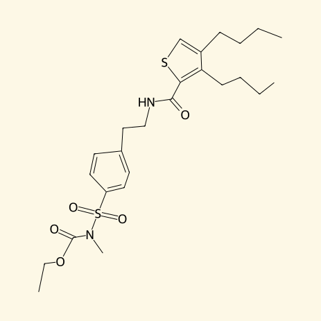 CCCCc1csc(C(=O)NCCc2ccc(S(=O)(=O)N(C)C(=O)OCC)cc2)c1CCCC